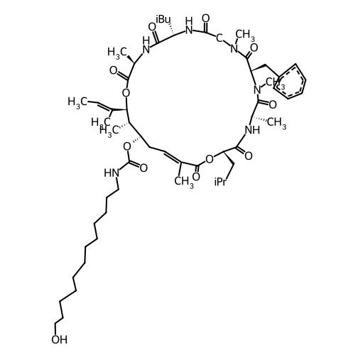 C/C=C(\C)[C@H]1OC(=O)[C@@H](C)NC(=O)[C@H](C(C)CC)NC(=O)CN(C)C(=O)[C@@H](Cc2ccccc2)N(C)C(=O)[C@H](C)NC(=O)[C@@H](CC(C)C)OC(=O)/C(C)=C/C[C@H](OC(=O)NCCCCCCCCCCCCO)[C@@H]1C